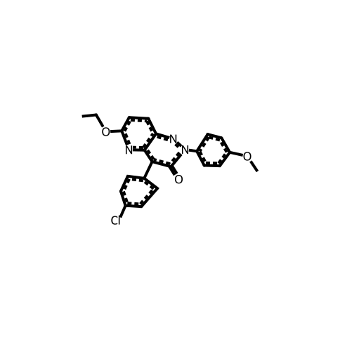 CCOc1ccc2nn(-c3ccc(OC)cc3)c(=O)c(-c3ccc(Cl)cc3)c2n1